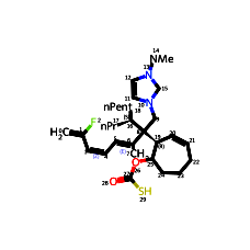 C=C(F)/C=C\C=C(/C)C(CN1C=CN(NC)C1)([C@@H](CCC)CCCCC)[C@H]1C=CCCCC1OC(=O)S